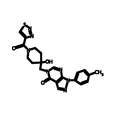 Cc1ccc(-n2ncc3c(=O)n(CC4(O)CCN(C(=O)c5csnn5)CC4)cnc32)cc1